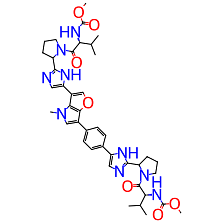 COC(=O)N[C@H](C(=O)N1CCCC1c1ncc(-c2ccc(-c3cn(C)c4c(-c5cnc(C6CCCN6C(=O)[C@@H](NC(=O)OC)C(C)C)[nH]5)coc34)cc2)[nH]1)C(C)C